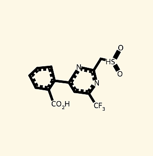 O=C(O)c1ccccc1-c1cc(C(F)(F)F)nc(C[SH](=O)=O)n1